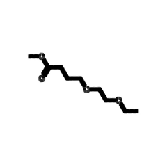 CCOCCOCCCC(=O)OC